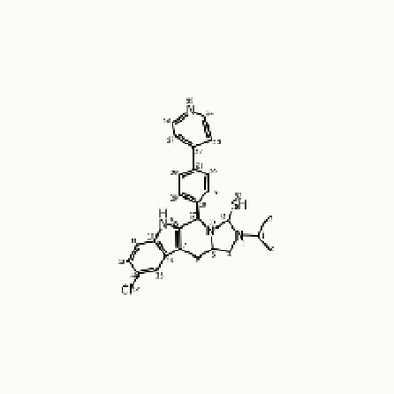 CC(C)N1CC2Cc3c([nH]c4ccc(Cl)cc34)C(c3ccc(-c4ccncc4)cc3)N2C1S